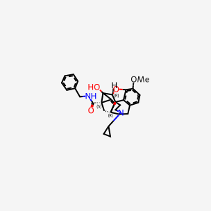 COc1ccc2c3c1O[C@H]1C4(O)C5=C[C@@]6(C[C@]54C(=O)NCc4ccccc4)C(C2)N(C2CC2)CCC316